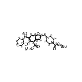 CCc1c(N(CC)C2CCOCC2)cc2oc(CN3CCN(C(=O)OC(C)(C)C)CC3)cc2c1C(=O)OC